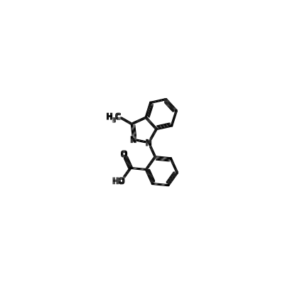 Cc1nn(-c2ccccc2C(=O)O)c2ccccc12